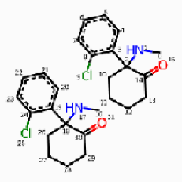 CNC1(c2ccccc2Cl)CCCCC1=O.CNC1(c2ccccc2Cl)CCCCC1=O